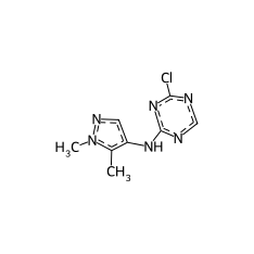 Cc1c(Nc2ncnc(Cl)n2)cnn1C